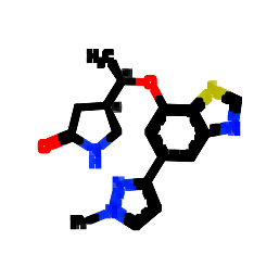 CC(C)n1ccc(-c2cc(O[C@H](C)[C@H]3CNC(=O)C3)c3scnc3c2)n1